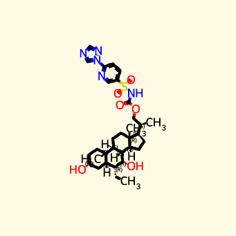 CC[C@H]1[C@@H](O)[C@@H]2[C@H](CC[C@]3(C)[C@@H]([C@H](C)COC(=O)NS(=O)(=O)c4ccc(-n5cncn5)nc4)CC[C@@H]23)[C@@]2(C)CC[C@@H](O)C[C@@H]12